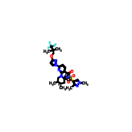 Cc1nn(C)cc1S(=O)(=O)NC(=O)c1ccc(-n2ccc(OCC(C)(C)C(F)(F)F)n2)nc1N1CC(C)[C@@H](C)CC1(C)C